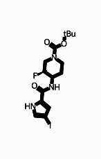 CC(C)(C)OC(=O)N1CCC(NC(=O)c2cc(I)c[nH]2)[C@@H](F)C1